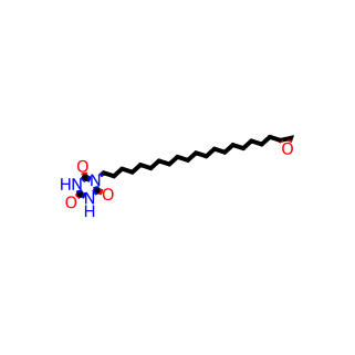 O=c1[nH]c(=O)n(CCCCCCCCCCCCCCCCCCCC2CO2)c(=O)[nH]1